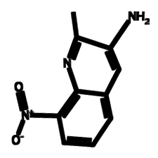 Cc1nc2c([N+](=O)[O-])cccc2cc1N